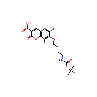 CC(C)(C)OC(=O)NCCCCOc1c(F)cc2cc(C(=O)O)c(=O)oc2c1F